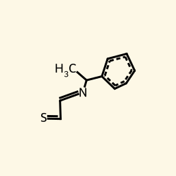 CC(N=CC=S)c1ccccc1